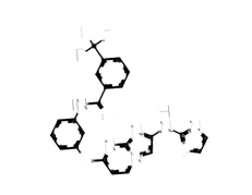 O=C(Nc1cccc(Oc2ccn3cc(Nc4nccs4)nc3n2)c1)c1cccc(C(F)(F)F)c1